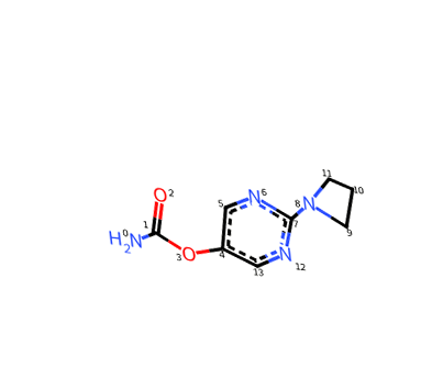 NC(=O)Oc1cnc(N2CCC2)nc1